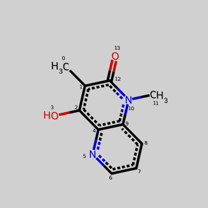 Cc1c(O)c2ncccc2n(C)c1=O